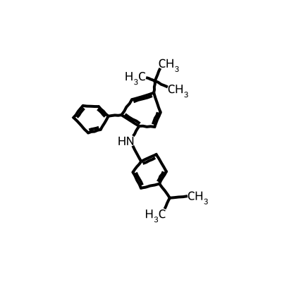 CC(C)c1ccc(Nc2ccc(C(C)(C)C)cc2-c2ccccc2)cc1